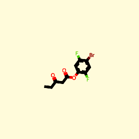 CCC(=O)CC(=O)Oc1cc(F)c(Br)cc1F